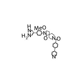 COc1cc(N2CCC3(CCN(C(=O)c4ccc(-c5ccncc5)cc4)CC3)C2=O)ccc1/C(C=N)=C/N